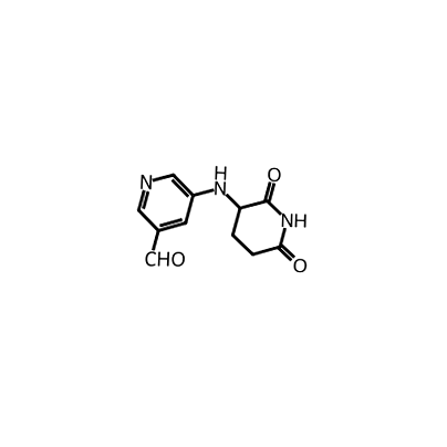 O=Cc1cncc(NC2CCC(=O)NC2=O)c1